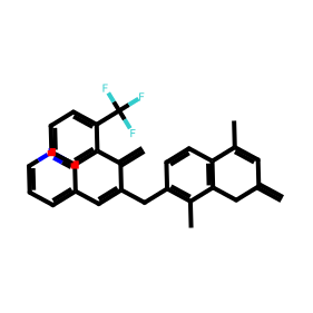 C=C1C=C(C)c2ccc(C/C(=C/c3cccnc3)C(=C)c3ccccc3C(F)(F)F)c(C)c2C1